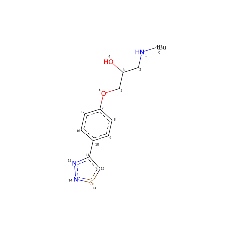 CC(C)(C)NCC(O)COc1ccc(-c2csnn2)cc1